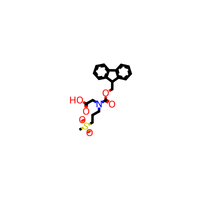 CS(=O)(=O)CCCN(CC(=O)O)C(=O)OCC1c2ccccc2-c2ccccc21